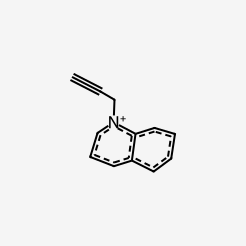 C#CC[n+]1cccc2ccccc21